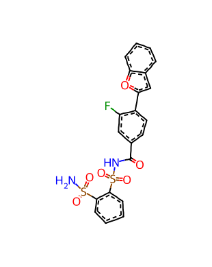 NS(=O)(=O)c1ccccc1S(=O)(=O)NC(=O)c1ccc(-c2cc3ccccc3o2)c(F)c1